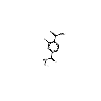 COC(=O)c1ccc(C(=O)NN)cc1F